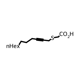 CCCCCCCCCC#CCSCC(=O)O